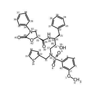 COc1cccc(S(=O)(=O)N(Cc2cccs2)C[C@@H](O)[C@H](Cc2ccccc2)NC(=O)[C@@H]2CN(c3ccccc3)C(=O)O2)c1